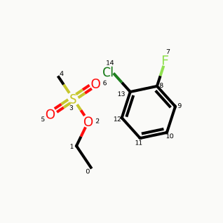 CCOS(C)(=O)=O.Fc1ccccc1Cl